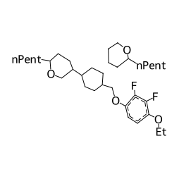 CCCCCC1CCC(C2CCC(COc3ccc(OCC)c(F)c3F)CC2)CO1.CCCCCC1CCCCO1